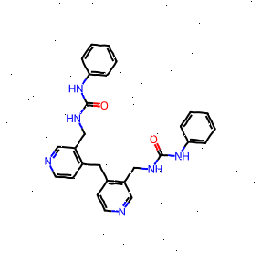 O=C(NCc1cnccc1Cc1ccncc1CNC(=O)Nc1ccccc1)Nc1ccccc1